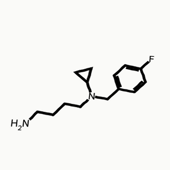 NCCCCN(Cc1ccc(F)cc1)C1CC1